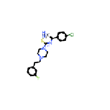 C=C(/N=C(\SN)N1CCN(CCc2cccc(F)c2)CC1)c1ccc(Cl)cc1